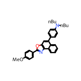 CCCCN(CCCC)c1ccc(-c2cc3oc(-c4ccc(OC)cc4)nc3c3ccccc23)cc1